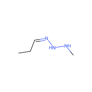 CC/C=N\NNC